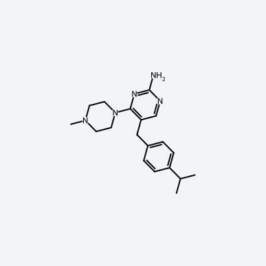 CC(C)c1ccc(Cc2cnc(N)nc2N2CCN(C)CC2)cc1